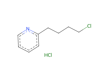 Cl.ClCCCCc1ccccn1